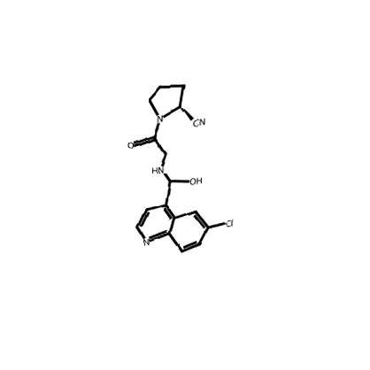 N#C[C@@H]1CCCN1C(=O)CNC(O)c1ccnc2ccc(Cl)cc12